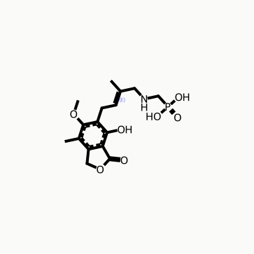 COc1c(C)c2c(c(O)c1C/C=C(\C)CNCP(=O)(O)O)C(=O)OC2